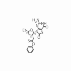 CC[C@@H]1C[C@@H](CC(=S)Oc2ccccc2)[C@H](n2c(=O)sc3c(=O)[nH]c(N)nc32)O1